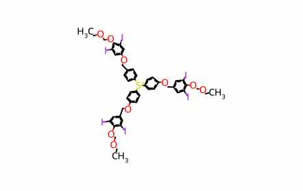 CCOCOc1c(I)cc(COc2ccc([S+](c3ccc(COc4cc(I)c(OCOCC)c(I)c4)cc3)c3ccc(OCc4cc(I)c(OCOCC)c(I)c4)cc3)cc2)cc1I